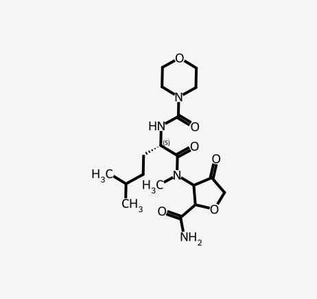 CC(C)CC[C@H](NC(=O)N1CCOCC1)C(=O)N(C)C1C(=O)COC1C(N)=O